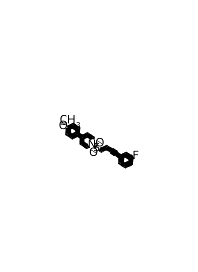 COc1ccc(C2CCN(S(=O)(=O)CCC#Cc3cccc(F)c3)CC2)cc1